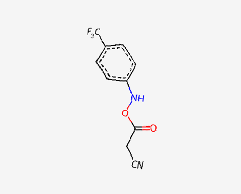 N#CCC(=O)ONc1ccc(C(F)(F)F)cc1